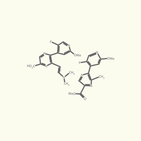 COC(=O)c1cnc(-c2cc(OC)ncc2F)c(C)n1.COc1cc(-c2ncc(C(=O)O)nc2/C=C/N(C)C)c(F)cn1